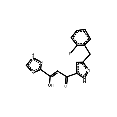 O=C(C=C(O)c1nc[nH]n1)c1cc(Cc2ccccc2F)n[nH]1